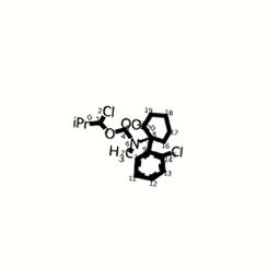 CC(C)C(Cl)OC(=O)N(C)[C@]1(c2ccccc2Cl)CCCCC1=O